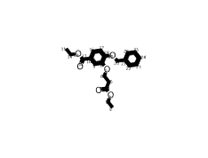 CCOC(=O)CCOc1cc(C(=O)OCC)ccc1OCc1ccccc1